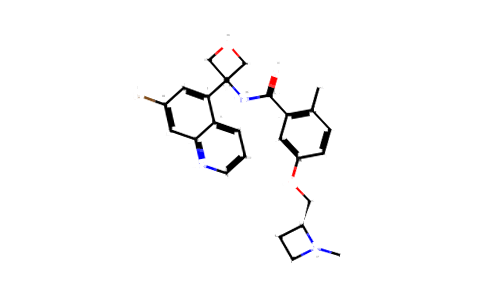 Cc1ccc(OC[C@@H]2CCN2C)cc1C(=O)NC1(c2cc(Br)cc3ncccc23)COC1